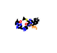 Bc1c(C)ccc(C(P)P)c1-c1cnc(CSC2CC2)c(C(=O)Nc2cnn(Cc3cnc(N4CC[C@@H](C)C4=O)nc3)c2)n1